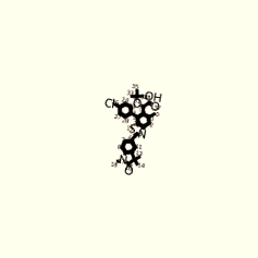 Cc1cc2nc(-c3ccc4c(c3)C(C)(C)C(=O)N4C)sc2c(-c2ccc(Cl)cc2)c1C(OC(C)(C)C)C(=O)O